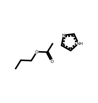 CCCOC(C)=O.c1c[nH]cn1